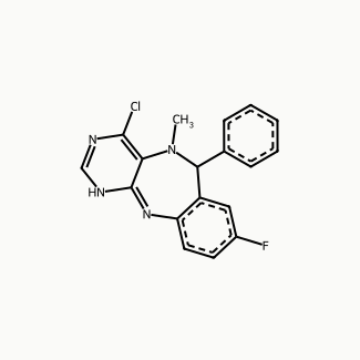 CN1C2=C(Cl)N=CNC2=Nc2ccc(F)cc2C1c1ccccc1